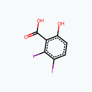 O=C(O)c1c(O)ccc(I)c1I